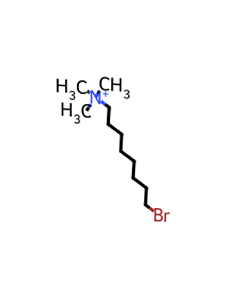 C[N+](C)(C)CCCCCCCCBr